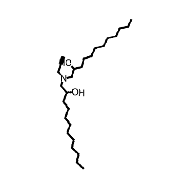 C#CCN(CC(O)CCCCCCCCCC)CC(O)CCCCCCCCCC